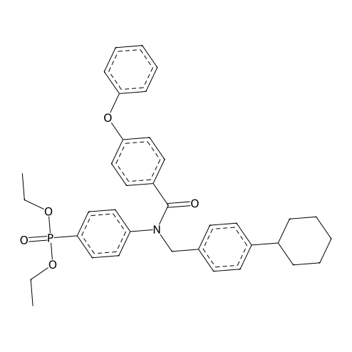 CCOP(=O)(OCC)c1ccc(N(Cc2ccc(C3CCCCC3)cc2)C(=O)c2ccc(Oc3ccccc3)cc2)cc1